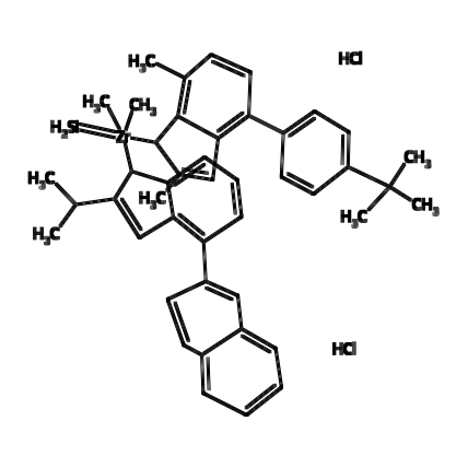 CC1=Cc2c(-c3ccc(C(C)(C)C)cc3)ccc(C)c2[CH]1[Zr]([CH3])([CH3])(=[SiH2])[CH]1C(C(C)C)=Cc2c(-c3ccc4ccccc4c3)cccc21.Cl.Cl